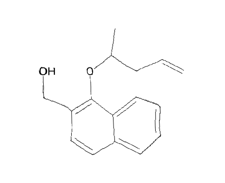 C=CCC(C)Oc1c(CO)ccc2ccccc12